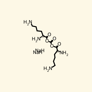 NCCCC[C@H](N)C(=O)OC(=O)OC(=O)[C@@H](N)CCCCN.[NaH].[NaH]